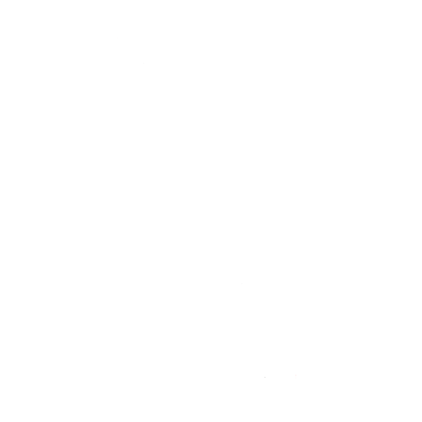 COc1ccc(COc2ccc(C=CC(C)=O)c(I)c2)cc1